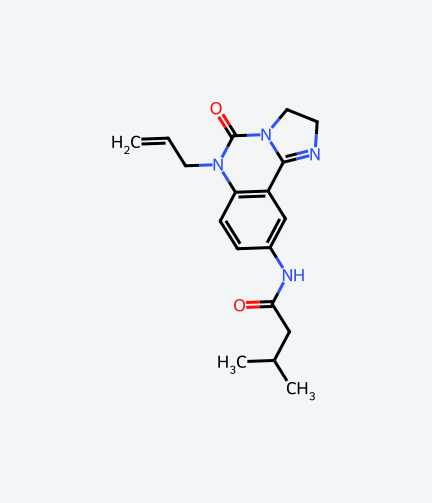 C=CCN1C(=O)N2CCN=C2c2cc(NC(=O)CC(C)C)ccc21